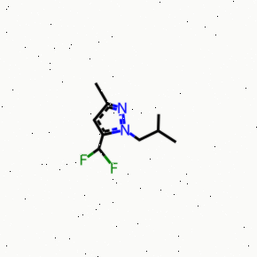 Cc1cc(C(F)F)n(CC(C)C)n1